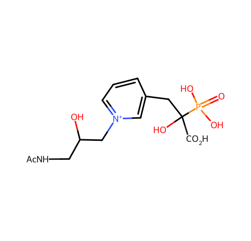 CC(=O)NCC(O)C[n+]1cccc(CC(O)(C(=O)O)P(=O)(O)O)c1